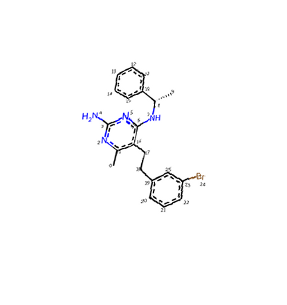 Cc1nc(N)nc(N[C@@H](C)c2ccccc2)c1CCc1cccc(Br)c1